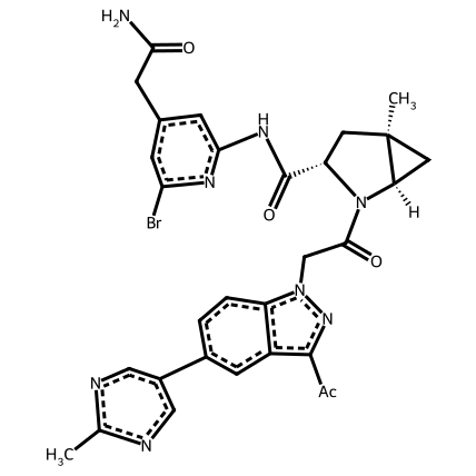 CC(=O)c1nn(CC(=O)N2[C@H](C(=O)Nc3cc(CC(N)=O)cc(Br)n3)C[C@@]3(C)C[C@@H]23)c2ccc(-c3cnc(C)nc3)cc12